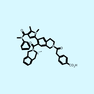 Cc1c(C(=O)N(C)c2ccccc2)cc(-c2cc3c(cc2C(=O)N2Cc4ccccc4C[C@H]2C)CN(C(=O)Cc2ccc(C(=O)O)cc2)CC3)n1C